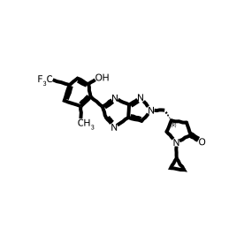 Cc1cc(C(F)(F)F)cc(O)c1-c1cnc2cn(C[C@@H]3CC(=O)N(C4CC4)C3)nc2n1